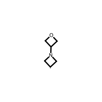 [CH]1CN(C2COC2)C1